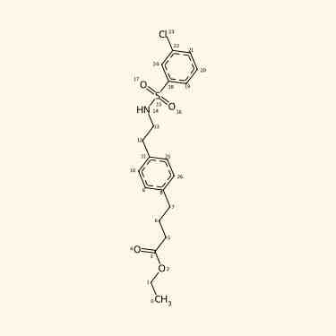 CCOC(=O)CCCc1ccc(CCNS(=O)(=O)c2cccc(Cl)c2)cc1